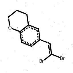 BrC(Br)=Cc1ccc2c(c1)CCCO2